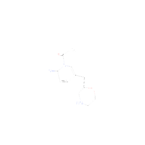 CC(C)(C)C(=O)N1C=C(CC2CNCCO2)C=CC1N